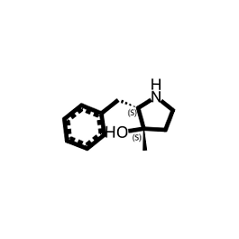 C[C@]1(O)CCN[C@H]1Cc1ccccc1